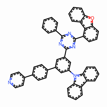 c1ccc(-c2nc(-c3cc(-c4ccc(-c5ccncc5)cc4)cc(-n4c5ccccc5c5ccccc54)c3)nc(-c3cccc4oc5ccccc5c34)n2)cc1